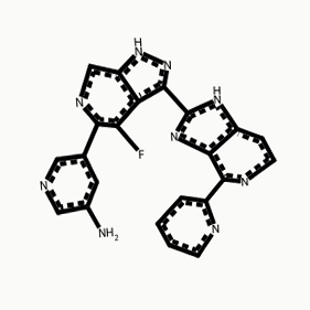 Nc1cncc(-c2ncc3[nH]nc(-c4nc5c(-c6ccccn6)nccc5[nH]4)c3c2F)c1